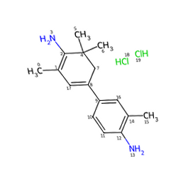 CC1=C(N)C(C)(C)CC(c2ccc(N)c(C)c2)=C1.Cl.Cl